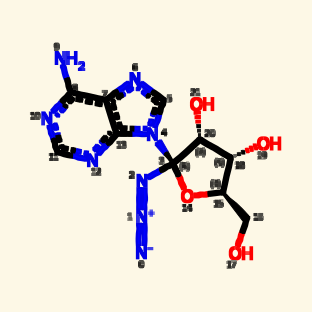 [N-]=[N+]=N[C@@]1(n2cnc3c(N)ncnc32)O[C@H](CO)[C@@H](O)[C@H]1O